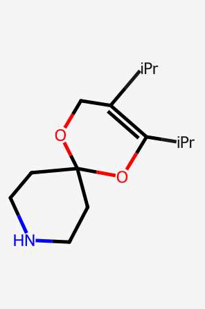 CC(C)C1=C(C(C)C)OC2(CCNCC2)OC1